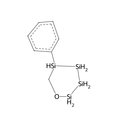 c1ccc([SiH]2CO[SiH2][SiH2][SiH2]2)cc1